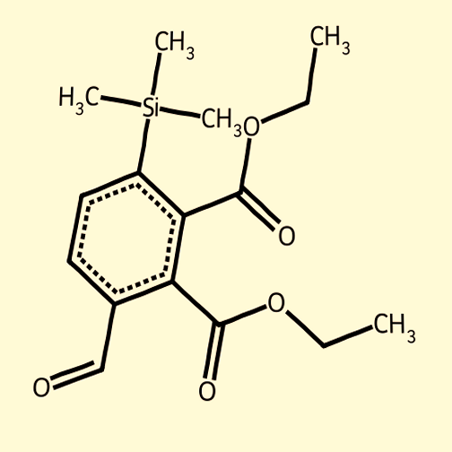 CCOC(=O)c1c(C=O)ccc([Si](C)(C)C)c1C(=O)OCC